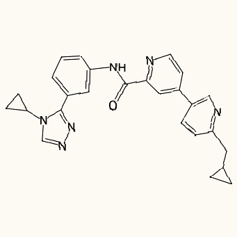 O=C(Nc1cccc(-c2nncn2C2CC2)c1)c1cc(-c2ccc(CC3CC3)nc2)ccn1